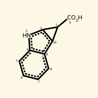 O=C(O)C1c2[nH]c3ccccc3c21